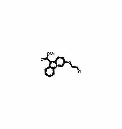 COC(=O)c1c2ccccc2n2cc(SCCCl)ccc12